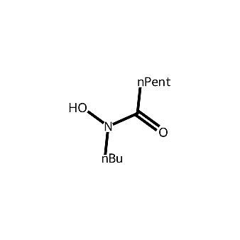 CCCCCC(=O)N(O)CCCC